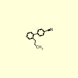 CCCc1c[c]ccc1-c1ccc(C#N)cc1